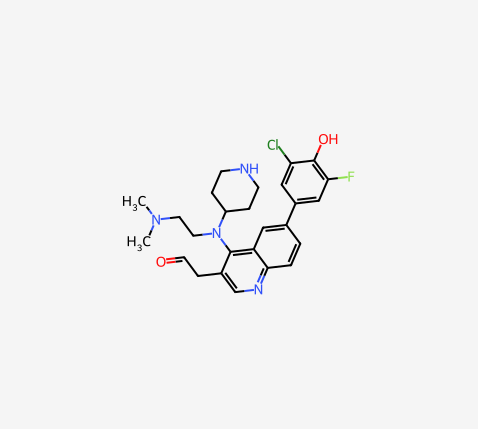 CN(C)CCN(c1c(CC=O)cnc2ccc(-c3cc(F)c(O)c(Cl)c3)cc12)C1CCNCC1